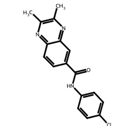 Cc1nc2ccc(C(=O)Nc3ccc(Cl)cc3)cc2nc1C